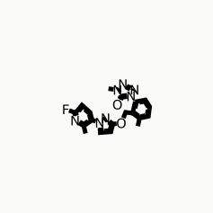 Cc1cccc(-n2nnn(C)c2=O)c1COc1ccn(-c2ccc(F)nc2C)n1